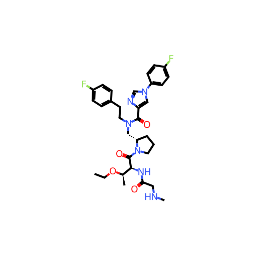 CCO[C@H](C)[C@H](NC(=O)CNC)C(=O)N1CCC[C@H]1CN(CCc1ccc(F)cc1)C(=O)c1cn(-c2ccc(F)cc2)cn1